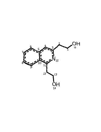 OCCc1cc2ccccc2c(CCO)n1